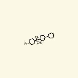 CC(C)C1CCC(C(C)(C)C2CCC(C3CCCCC3)CC2)CC1